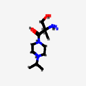 CC(C)N1CCN(C(=O)[C@@](C)(N)CO)CC1